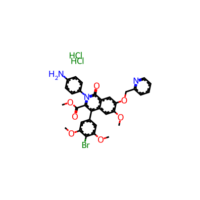 COC(=O)c1c(-c2cc(OC)c(Br)c(OC)c2)c2cc(OC)c(OCc3ccccn3)cc2c(=O)n1-c1ccc(N)cc1.Cl.Cl